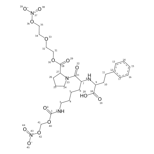 O=C(NCCCCC(NC(CCc1ccccc1)C(=O)O)C(=O)N1CCCC1C(=O)OCCOCCO[N+](=O)[O-])OCO[N+](=O)[O-]